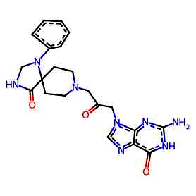 Nc1nc2c(ncn2CC(=O)CN2CCC3(CC2)C(=O)NCN3c2ccccc2)c(=O)[nH]1